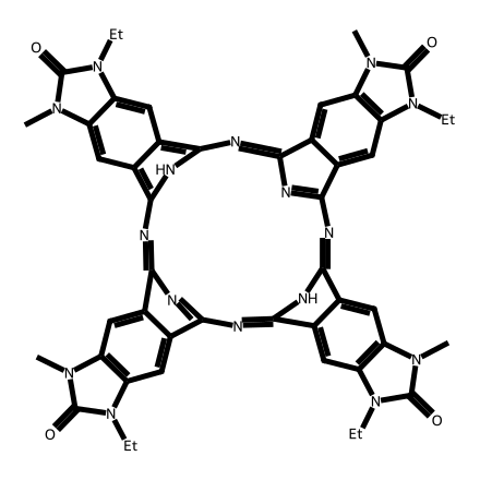 CCn1c(=O)n(C)c2cc3c(cc21)-c1nc-3nc2[nH]c(nc3nc(nc4[nH]c(n1)c1cc5c(cc41)n(CC)c(=O)n5C)-c1cc4c(cc1-3)n(C)c(=O)n4CC)c1cc3c(cc21)n(CC)c(=O)n3C